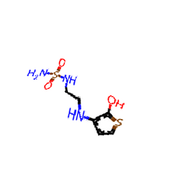 NS(=O)(=O)NCCNc1ccsc1O